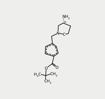 CC(C)(C)OC(=O)c1ccc(CN2CCC[C@@H](N)C2)cc1